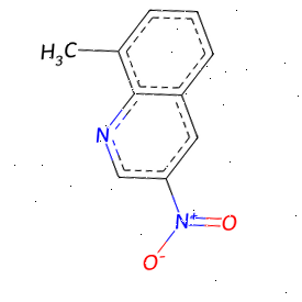 Cc1cccc2cc([N+](=O)[O-])cnc12